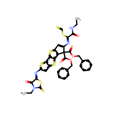 CCNC(=O)/C(=N/C1=Cc2sc3c(sc4cc(/N=C5\SC(=S)N(CC)C5=O)sc43)c2C1(C(=O)OCc1ccccc1)C(=O)OCc1ccccc1)SC=S